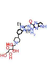 CCn1c(CNC(=O)c2nc3cc[nH]c3nc2N)[n+](CC)c2ccc(C3CCN(CC(O)C(O)C(O)C(O)CO)CC3)cc21